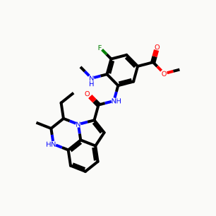 CCC1C(C)Nc2cccc3cc(C(=O)Nc4cc(C(=O)OC)cc(F)c4NC)n1c23